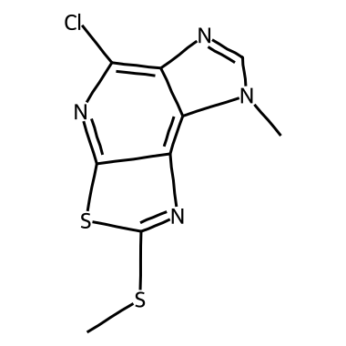 CSc1nc2c(nc(Cl)c3ncn(C)c32)s1